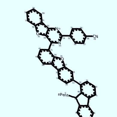 CCCCCC1c2ccccc2-c2cccc(-c3ccc4c(c3)oc3c(-c5nc(-c6ccc(C#N)cc6)nc6c5oc5ccccc56)cccc34)c21